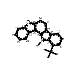 Cn1c2c(C(C)(C)C)cccc2c2ccc3oc4ccccc4c3c21